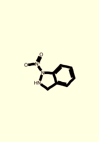 O=[N+]([O-])N1NCc2ccccc21